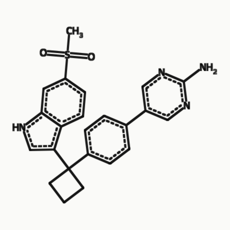 CS(=O)(=O)c1ccc2c(C3(c4ccc(-c5cnc(N)nc5)cc4)CCC3)c[nH]c2c1